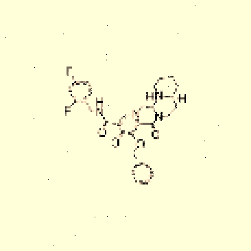 O=C(NCc1ccc(F)cc1F)c1cn2c(c(OCc3ccccc3)c1=O)C(=O)N1CC[C@@H]3CCCCN3[C@@H]1C2